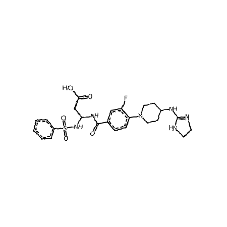 O=C(O)CC(NC(=O)c1ccc(N2CCC(NC3=NCCN3)CC2)c(F)c1)NS(=O)(=O)c1ccccc1